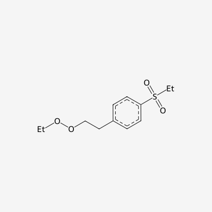 CCOOCCc1ccc(S(=O)(=O)CC)cc1